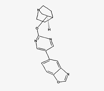 c1nc2cc(-c3cnc(O[C@H]4CN5CCC4CC5)nc3)ccc2o1